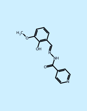 COc1cccc(C=NNC(=O)c2ccncc2)c1O